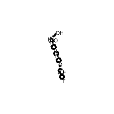 C[C@]1(c2ccc(F)cc2F)C[C@H](COc2ccc(N3CCN(c4ccc(-n5cnn(CCCO)c5=O)cc4)CC3)cc2)CO1